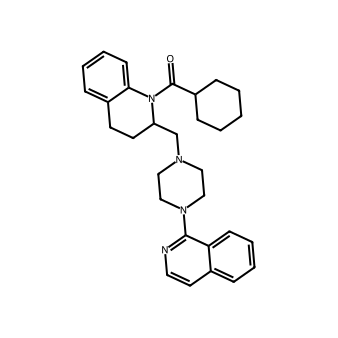 O=C(C1CCCCC1)N1c2ccccc2CCC1CN1CCN(c2nccc3ccccc23)CC1